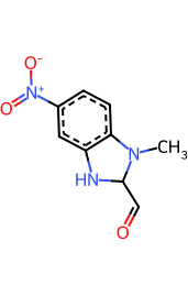 CN1c2ccc([N+](=O)[O-])cc2NC1C=O